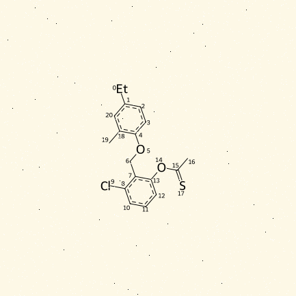 CCc1ccc(OCc2c(Cl)cccc2OC(C)=S)c(C)c1